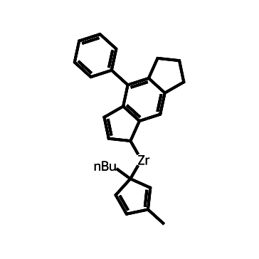 CCCC[C]1([Zr][CH]2C=Cc3c2cc2c(c3-c3ccccc3)CCC2)C=CC(C)=C1